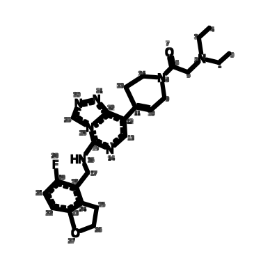 CCN(CC)CC(=O)N1CC=C(c2cnc(NCc3c(F)ccc4c3CCO4)n3cnnc23)CC1